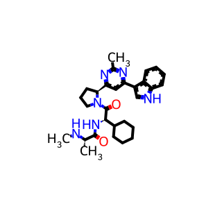 CN[C@@H](C)C(=O)N[C@H](C(=O)N1CCC[C@H]1c1cc(-c2c[nH]c3ccccc23)nc(C)n1)C1CCCCC1